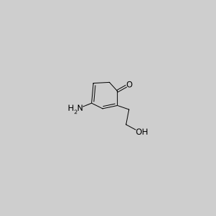 NC1=CCC(=O)C(CCO)=C1